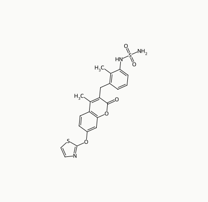 Cc1c(Cc2c(C)c3ccc(Oc4nccs4)cc3oc2=O)cccc1NS(N)(=O)=O